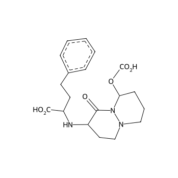 O=C(O)OC1CCCN2CCC(NC(CCc3ccccc3)C(=O)O)C(=O)N12